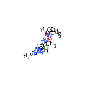 Cc1c(-c2ncnc(Nc3ccn(C)n3)n2)ccc(C(C)NC(=O)c2noc(C(C)(C)C)n2)c1Cl